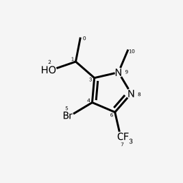 CC(O)c1c(Br)c(C(F)(F)F)nn1C